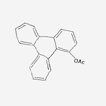 CC(=O)Oc1cccc2c3ccccc3c3ccccc3c12